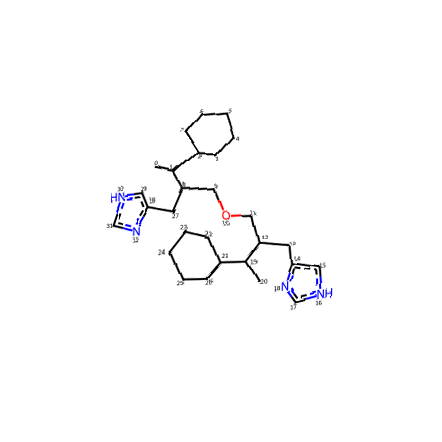 CC(C1CCCCC1)C(COCC(Cc1c[nH]cn1)C(C)C1CCCCC1)Cc1c[nH]cn1